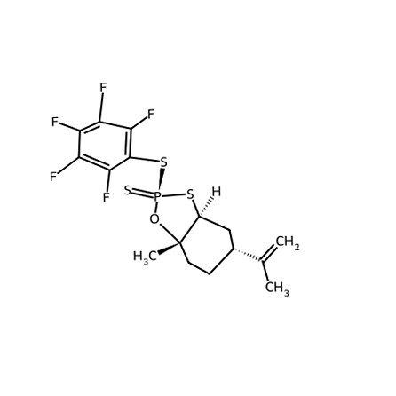 C=C(C)[C@@H]1CC[C@]2(C)O[P@@](=S)(Sc3c(F)c(F)c(F)c(F)c3F)S[C@H]2C1